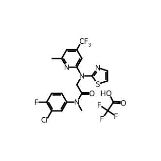 Cc1cc(C(F)(F)F)cc(N(CC(=O)N(C)c2ccc(F)c(Cl)c2)c2nccs2)n1.O=C(O)C(F)(F)F